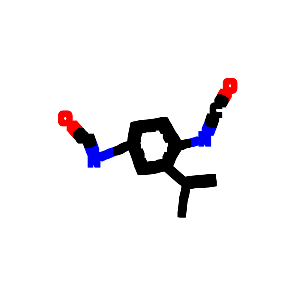 C=C(C)c1cc(N=C=O)ccc1N=C=O